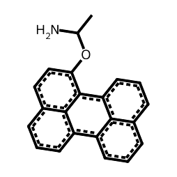 CC(N)Oc1ccc2cccc3c4cccc5cccc(c1c23)c54